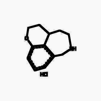 Cl.c1cc2c3c(c1)OCCC3CCNC2